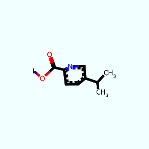 CC(C)c1ccc(C(=O)OI)nc1